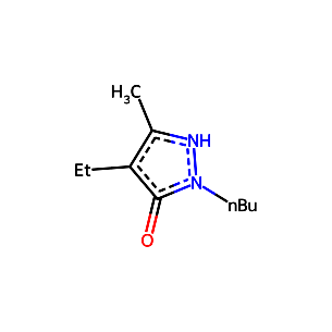 CCCCn1[nH]c(C)c(CC)c1=O